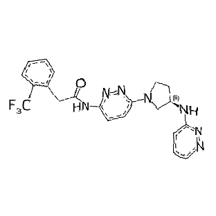 O=C(Cc1ccccc1C(F)(F)F)Nc1ccc(N2CC[C@@H](Nc3cccnn3)C2)nn1